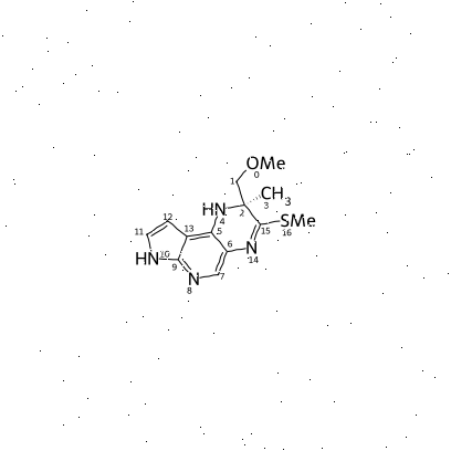 COC[C@]1(C)Nc2c(cnc3[nH]ccc23)N=C1SC